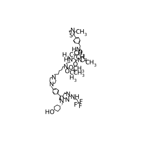 Cc1ncsc1-c1ccc(CNOC[C@@H]2C[C@@H](C)CN2C(=O)[C@@H](NCCN(CCCCCN2CCN(Cc3ccc(-c4cn(C[C@H]5CC[C@H](O)CC5)c5nc(NCCC(F)(F)F)ncc45)cc3)CC2)C(=O)OC(C)(C)C)C(C)(C)C)cc1